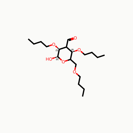 CCCCOCC1O[C@@H](O)[C@@H](OCCCC)C(C=O)[C@H]1OCCCC